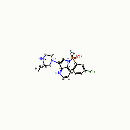 C=S(=O)(c1cccc(Cl)c1)n1cc(N2CCN[C@H](C)C2)c2ncccc21